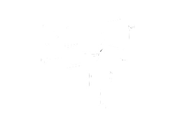 CS(=O)(=O)c1cc2c(cc1C(F)(F)F)c1cc(C(F)(F)F)cnc1n2[C@H]1CCCNC[C@@H]1O